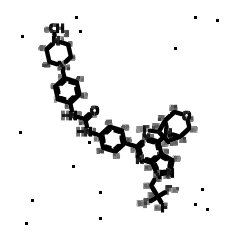 CN1CCN(c2ccc(NC(=O)Nc3ccc(-c4nc(N5C6COCC5C(F)C6)c5cnn(CC(F)(F)F)c5n4)cc3)cc2)CC1